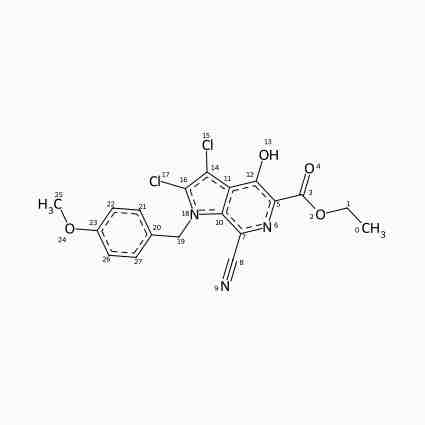 CCOC(=O)c1nc(C#N)c2c(c1O)c(Cl)c(Cl)n2Cc1ccc(OC)cc1